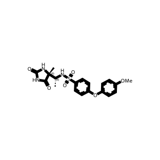 COc1ccc(Oc2ccc(S(=O)(=O)N[C@H](C)[C@@]3(C)NC(=O)NC3=O)cc2)cc1